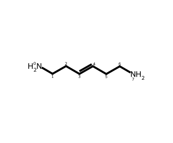 NCCC=CCCN